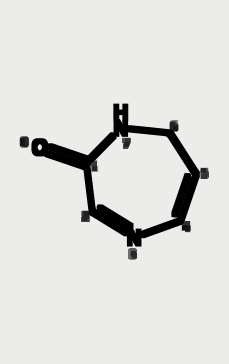 O=C1C=NC=CCN1